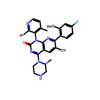 COc1cc(F)ccc1-c1nc2c(cc1C#N)c(N1CCNC[C@@H]1C)nc(=O)n2-c1c(C)ccnc1C(C)C